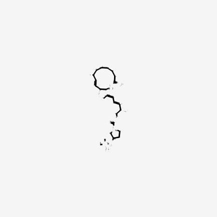 C/C(=C\C=C\[C@@H](C)COC(=O)N1CCC(O[Si](C)(C)C(C)(C)C)C1)[C@H]1NC(=O)CCCCCC/C=C/[C@@H]1C